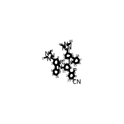 Cc1nc(C)nc(-c2ccc3c(c2)c2ccccc2n3-c2cc(-c3ccc(C#N)cc3F)cc(-n3c4ccccc4c4cc(-c5nc(C)nc(C)n5)ccc43)c2C#N)n1